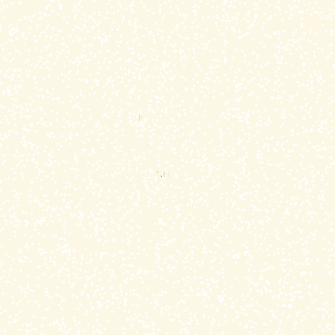 CC(C)(C)OC(=O)c1cc2ccccc2[nH]1.O=C(O)c1ccccc1